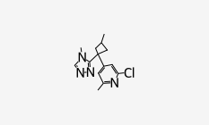 Cc1cc(C2(c3nncn3C)CC(C)C2)cc(Cl)n1